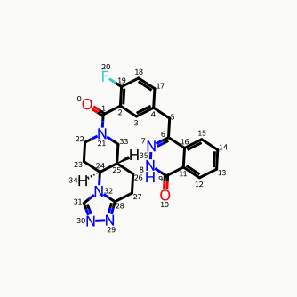 O=C(c1cc(Cc2n[nH]c(=O)c3ccccc23)ccc1F)N1CC[C@H]2[C@@H](CCc3nncn32)C1